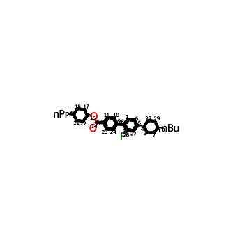 CCCC[C@H]1CC[C@H](c2ccc(-c3ccc(C(=O)O[C@H]4CC[C@H](CCC)CC4)cc3)c(F)c2)CC1